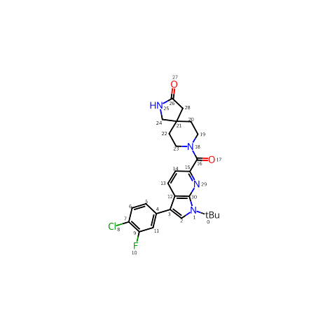 CC(C)(C)n1cc(-c2ccc(Cl)c(F)c2)c2ccc(C(=O)N3CCC4(CC3)CNC(=O)C4)nc21